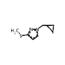 CSc1ccn(CC2CC2)n1